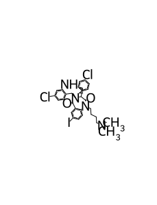 CN(C)CCCCN1C(=O)C(c2ccc(Cl)cc2)N(Cc2ccc(Cl)cc2N)C(=O)c2cc(I)ccc21